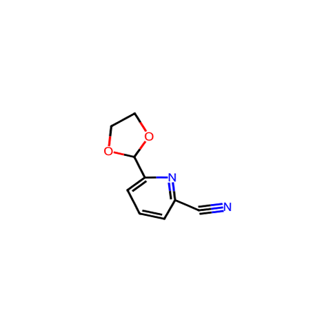 N#Cc1cccc(C2OCCO2)n1